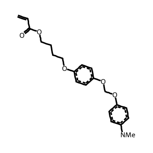 C=CC(=O)OCCCCOc1ccc(OCOc2ccc(NC)cc2)cc1